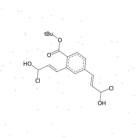 CC(C)(C)OC(=O)c1ccc(/C=C/C(O)Cl)cc1/C=C/C(O)Cl